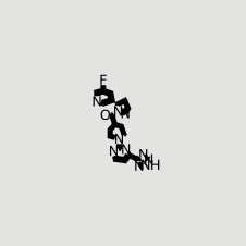 O=C(C1CCN(c2nccc(-c3nn[nH]n3)n2)CC1)N1N=CC[C@H]1c1cncc(F)c1